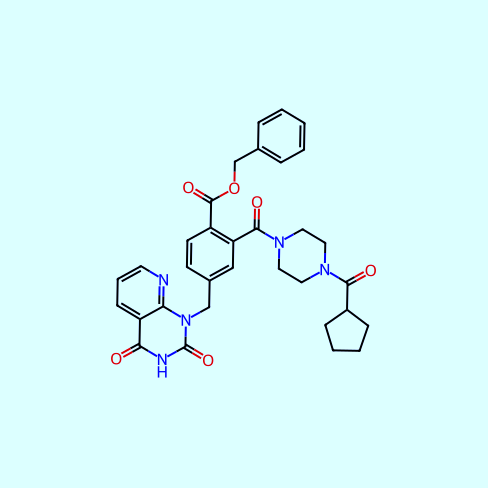 O=C(OCc1ccccc1)c1ccc(Cn2c(=O)[nH]c(=O)c3cccnc32)cc1C(=O)N1CCN(C(=O)C2CCCC2)CC1